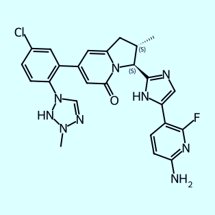 C[C@H]1Cc2cc(-c3cc(Cl)ccc3N3C=NN(C)N3)cc(=O)n2[C@@H]1c1ncc(-c2ccc(N)nc2F)[nH]1